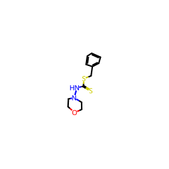 S=C(NN1CCOCC1)SCc1ccccc1